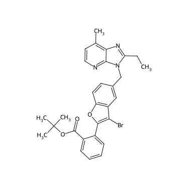 CCc1nc2c(C)ccnc2n1Cc1ccc2oc(-c3ccccc3C(=O)OC(C)(C)C)c(Br)c2c1